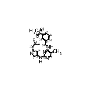 Cc1cnc(Nc2cnn(CC(F)F)c2)nc1NCc1cccc(S(C)(=O)=O)c1